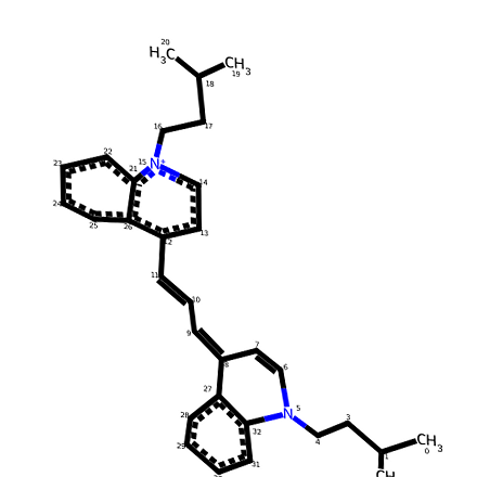 CC(C)CCN1C=C/C(=C\C=C\c2cc[n+](CCC(C)C)c3ccccc23)c2ccccc21